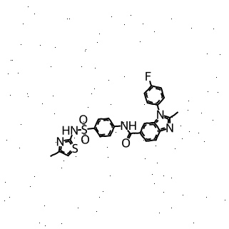 Cc1csc(NS(=O)(=O)c2ccc(NC(=O)c3ccc4nc(C)n(-c5ccc(F)cc5)c4c3)cc2)n1